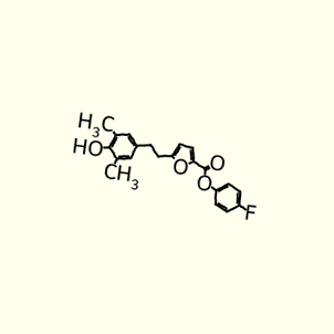 Cc1cc(CCc2ccc(C(=O)Oc3ccc(F)cc3)o2)cc(C)c1O